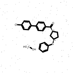 O=C(O)O.O=C(c1ccc(-c2ccc(Cl)cc2)cc1)[C@H]1CC[C@@H](Sc2ccccc2)C1